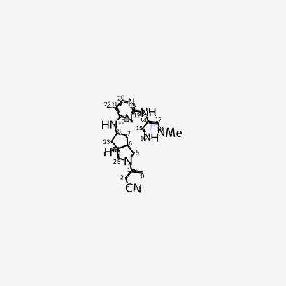 C=C(CC#N)N1CC2CC(Nc3nc(N/C(C=N)=C/NC)ncc3C)C[C@@H]2C1